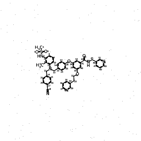 Cc1c(NS(C)(=O)=O)cccc1N(Cc1ccc(C#N)cc1)Cc1ccc(Oc2cc(OCCc3cccnc3)cc(C(=O)NCc3cccnc3)c2)cc1